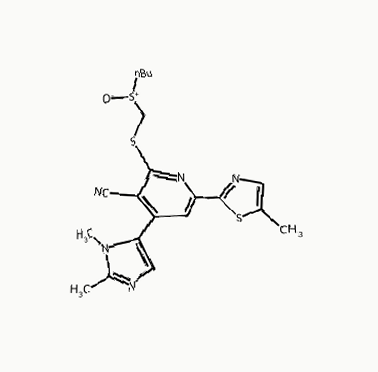 CCCC[S+]([O-])CSc1nc(-c2ncc(C)s2)cc(-c2cnc(C)n2C)c1C#N